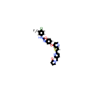 O=C1CCCN1Cc1ccc(-c2cc3nccc(Oc4ccc5oc(Nc6ccc(Cl)c(C(F)(F)F)c6)nc5c4)c3s2)nc1